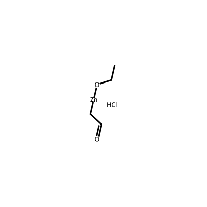 CC[O][Zn][CH2]C=O.Cl